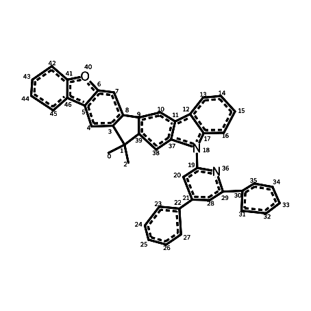 CC1(C)c2cc3c(cc2-c2cc4c5ccccc5n(-c5cc(-c6ccccc6)cc(-c6ccccc6)n5)c4cc21)oc1ccccc13